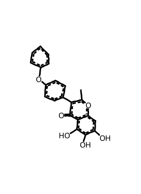 Cc1oc2cc(O)c(O)c(O)c2c(=O)c1-c1ccc(Oc2ccccc2)cc1